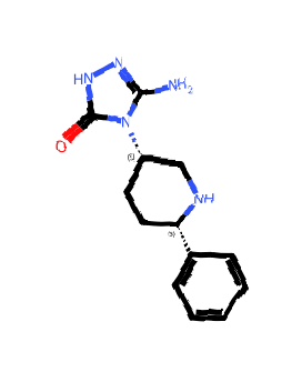 Nc1n[nH]c(=O)n1[C@H]1CC[C@@H](c2ccccc2)NC1